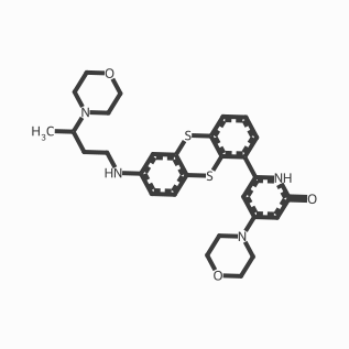 CC(CCNc1ccc2c(c1)Sc1cccc(-c3cc(N4CCOCC4)cc(=O)[nH]3)c1S2)N1CCOCC1